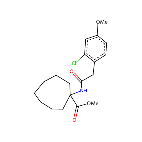 COC(=O)C1(NC(=O)Cc2ccc(OC)cc2Cl)CCCCCCC1